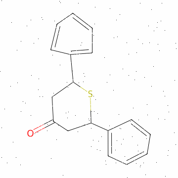 O=C1CC(c2ccccc2)SC(c2ccccc2)C1